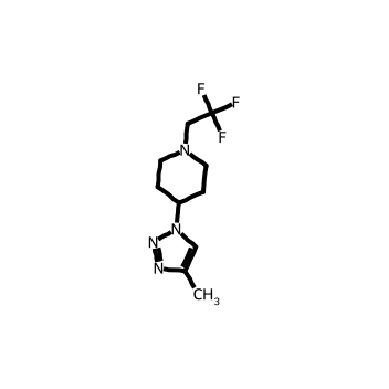 Cc1cn(C2CCN(CC(F)(F)F)CC2)nn1